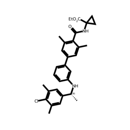 CCOC(=O)C1(NC(=O)c2c(C)cc(-c3cccc(N[C@H](C)c4cc(C)c(Cl)c(C)c4)c3)cc2C)CC1